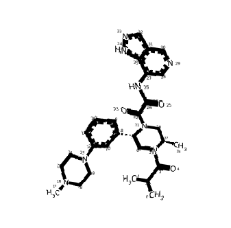 CC(C)C(=O)N1C[C@H](c2cccc(N3CCN(C)CC3)c2)N(C(=O)C(=O)Nc2cncc3cn[nH]c23)C[C@H]1C